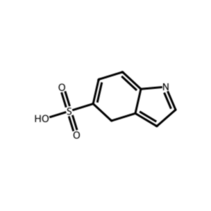 O=S(=O)(O)C1=CC=C2N=CC=C2C1